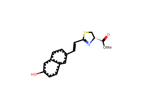 COC(=O)[C@H]1CSC(/C=C/c2ccc3cc(O)ccc3c2)=N1